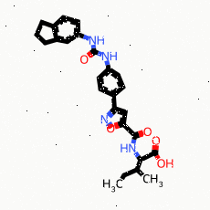 CCC(C)C(NC(=O)c1cc(-c2ccc(NC(=O)Nc3ccc4c(c3)CCC4)cc2)no1)C(=O)O